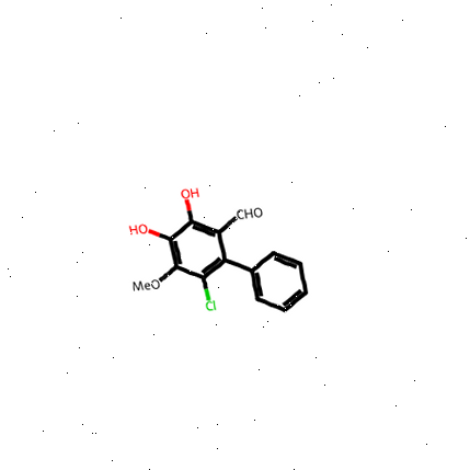 COc1c(O)c(O)c(C=O)c(-c2ccccc2)c1Cl